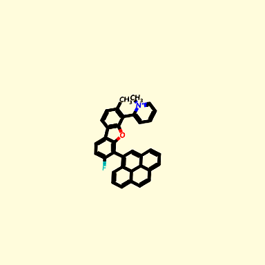 Cc1ccc2c(oc3c(C4=C5C=CC=C6C=CC7=CC=CC(=C4)C7C65)c(F)ccc32)c1-c1cccc[n+]1C